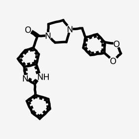 O=C(c1ccc2nc(-c3ccccc3)[nH]c2c1)N1CCN(Cc2ccc3c(c2)OCO3)CC1